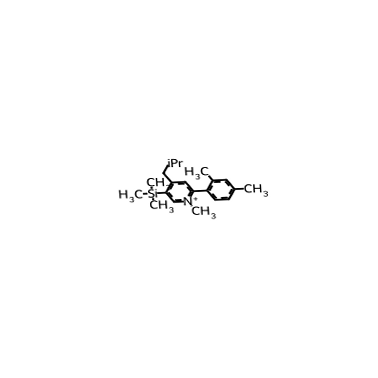 Cc1ccc(-c2cc(CC(C)C)c([Si](C)(C)C)c[n+]2C)c(C)c1